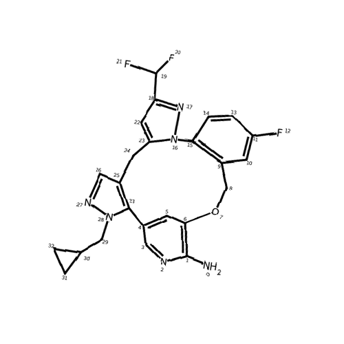 Nc1ncc2cc1OCc1cc(F)ccc1-n1nc(C(F)F)cc1Cc1cnn(CC3CC3)c1-2